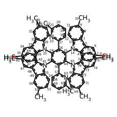 Cc1ccc2c(c1)c1cc(C)ccc1n2-c1c(-c2cccc(C)n2)c(-n2c3ccc(C)cc3c3cc(C)ccc32)c(-n2c3ccc(C)cc3c3cc(C)ccc32)c(-c2cccc(C)n2)c1-n1c2ccc(C)cc2c2cc(C)ccc21